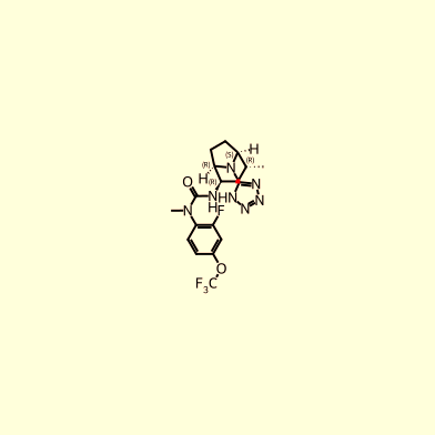 C[C@@H]1C[C@@H](NC(=O)N(C)c2ccc(OC(F)(F)F)cc2F)[C@H]2CC[C@@H]1N2c1nnn[nH]1